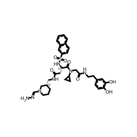 NN=CN1CCC[C@@H](CNC(=O)C[C@H](NS(=O)(=O)c2ccc3ccccc3c2)C(=O)N(CC(=O)NCCc2ccc(O)c(O)c2)C2CC2)C1